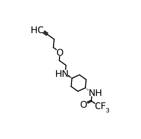 C#CCCOCCN[C@H]1CC[C@H](NC(=O)C(F)(F)F)CC1